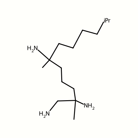 CC(C)CCCCC(C)(N)CCCC(C)(N)CN